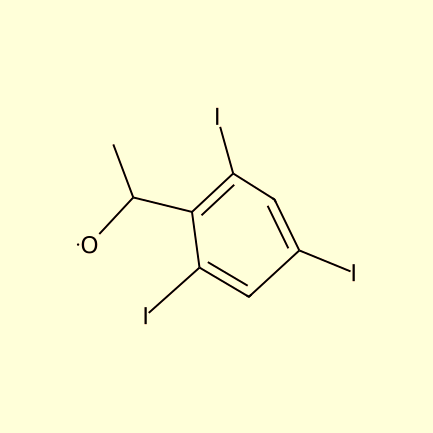 CC([O])c1c(I)cc(I)cc1I